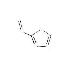 C=Nc1nnc[nH]1